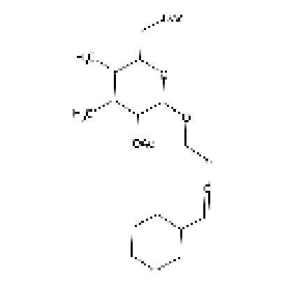 CC(=O)OCC1OC(OCC=C=CC2CCCCC2)C(OC(C)=O)C(C)C1C